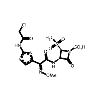 CO/N=C(\C(=O)N[C@@H]1C(=O)N(S(=O)(=O)O)[C@@H]1S(C)(=O)=O)c1csc(NC(=O)CCl)n1